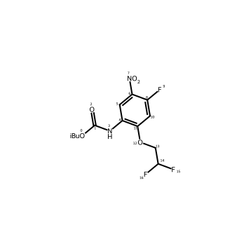 CC(C)COC(=O)Nc1cc([N+](=O)[O-])c(F)cc1OCC(F)F